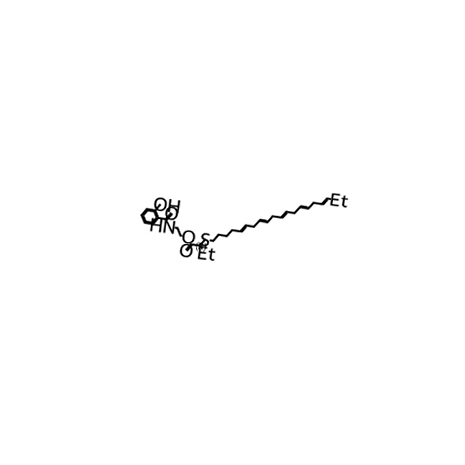 CCC=CCC=CCC=CCC=CCC=CCCCCS[C@H](CC)C(=O)OCCNC(=O)c1ccccc1O